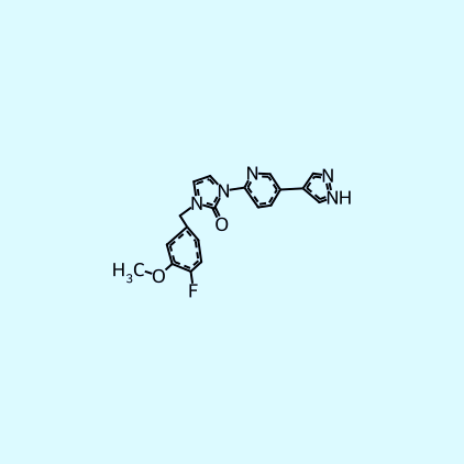 COc1cc(Cn2ccn(-c3ccc(-c4cn[nH]c4)cn3)c2=O)ccc1F